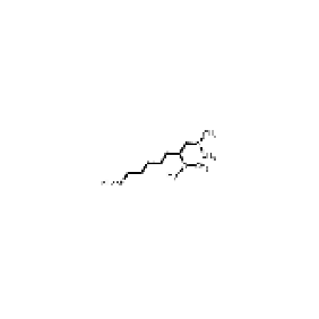 CCCCCCCCCCCCC(CN(C)C)N(C)C